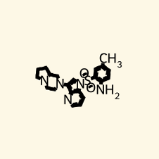 Cc1ccc(N)c(S(=O)(=O)n2cc(N3CCN4CCCC4C3)c3ncccc32)c1